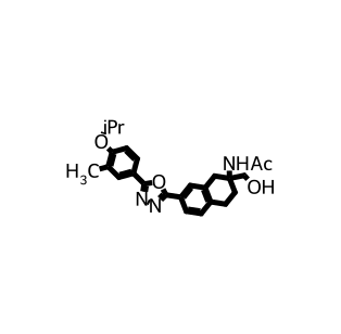 CC(=O)NC1(CO)CCc2ccc(-c3nnc(-c4ccc(OC(C)C)c(C)c4)o3)cc2C1